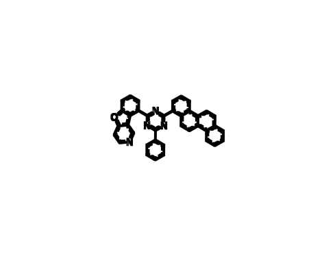 c1ccc(-c2nc(-c3cccc4c3ccc3c5ccccc5ccc43)nc(-c3cccc4oc5ccncc5c34)n2)cc1